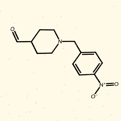 O=CC1CCN(Cc2ccc([N+](=O)[O-])cc2)CC1